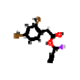 C#CC(I)OC(=O)Cc1ccc(Br)cc1Br